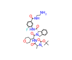 CC(C(=O)NC(C(=O)N1Cc2ccccc2[C@H]1C(=O)Nc1cc(C(=O)NCCN)ccc1F)C1CCOCC1)N(C)C(=O)OC(C)(C)C